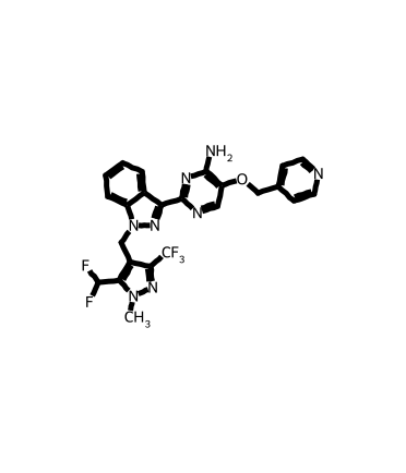 Cn1nc(C(F)(F)F)c(Cn2nc(-c3ncc(OCc4ccncc4)c(N)n3)c3ccccc32)c1C(F)F